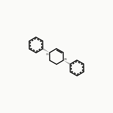 C1=C[C@H](c2ccccc2)CC[C@@H]1c1ccccc1